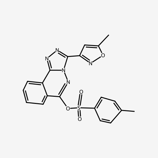 Cc1ccc(S(=O)(=O)Oc2nn3c(-c4cc(C)on4)nnc3c3ccccc23)cc1